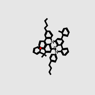 CCCCc1ccc(N2B3c4cc5c(cc4N(c4ccc(CCCC)cc4-c4ccccc4)c4cc(-c6ccccc6C)cc(c43)-c3ccccc32)-c2ccccc2C5(C)C)cc1